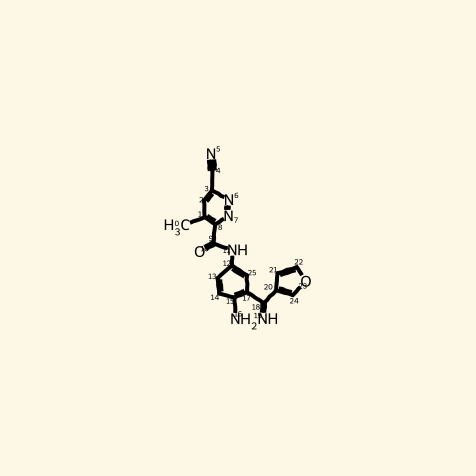 Cc1cc(C#N)nnc1C(=O)Nc1ccc(N)c(C(=N)c2ccoc2)c1